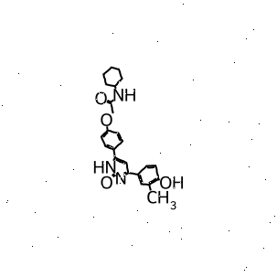 Cc1cc(-c2cc(-c3ccc(OCC(=O)NC4CCCCC4)cc3)[nH]c(=O)n2)ccc1O